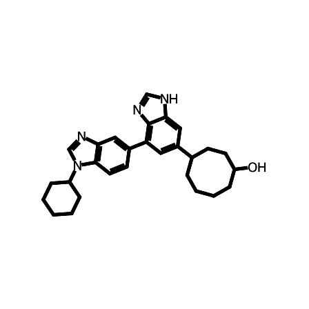 OC1CCCCC(c2cc(-c3ccc4c(c3)ncn4C3CCCCC3)c3nc[nH]c3c2)CC1